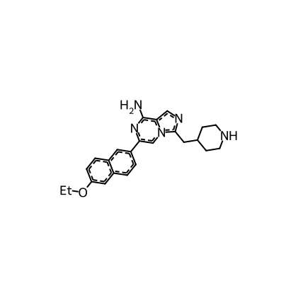 CCOc1ccc2cc(-c3cn4c(CC5CCNCC5)ncc4c(N)n3)ccc2c1